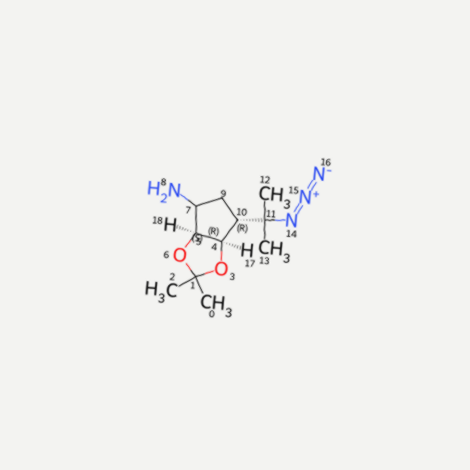 CC1(C)O[C@H]2[C@@H](O1)C(N)C[C@@H]2C(C)(C)N=[N+]=[N-]